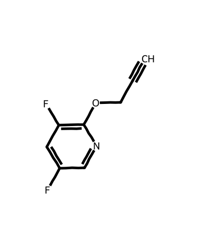 C#CCOc1ncc(F)cc1F